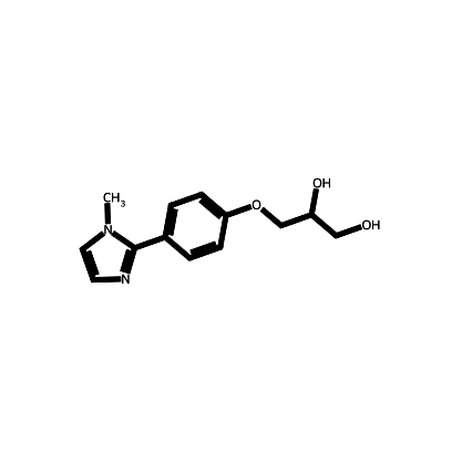 Cn1ccnc1-c1ccc(OCC(O)CO)cc1